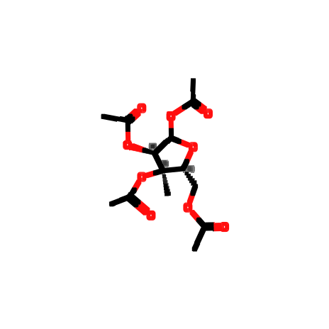 CC(=O)OC[C@H]1OC(OC(C)=O)[C@H](OC(C)=O)[C@]1(C)OC(C)=O